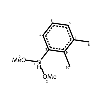 CO[SiH](OC)c1cccc(C)c1C